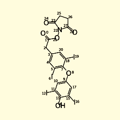 O=C(Cc1cc(I)c(Oc2cc(I)c(O)c(I)c2)c(I)c1)ON1C(=O)CCC1=O